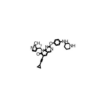 Cn1nccc1Cn1c(=O)c(C#CC2CC2)cc2cnc(Oc3ccc(NC4CCCNC4)cc3)nc21